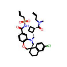 C=CCN(C)C(=O)[C@@H]1CC[C@H]1CN1C[C@@]2(CCCc3cc(Cl)ccc32)COc2ccc(C(=O)NS(=O)(=O)CC=C)cc21